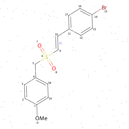 COc1ccc(CS(=O)(=O)/C=C/c2ccc(Br)cc2)cc1